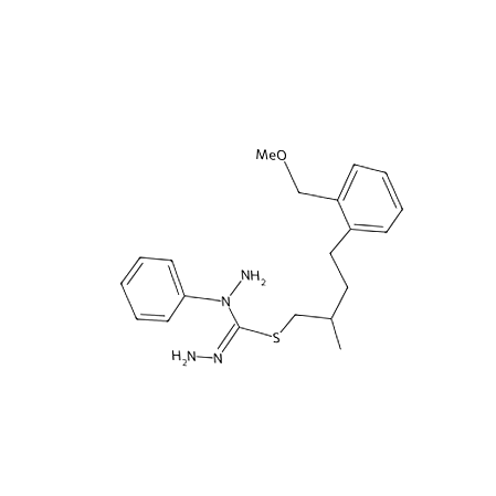 COCc1ccccc1CCC(C)CS/C(=N/N)N(N)c1ccccc1